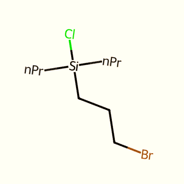 CCC[Si](Cl)(CCC)CCCBr